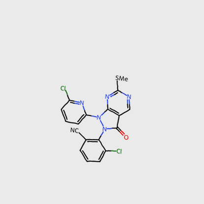 CSc1ncc2c(=O)n(-c3c(Cl)cccc3C#N)n(-c3cccc(Cl)n3)c2n1